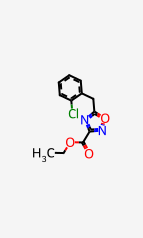 CCOC(=O)c1noc(Cc2ccccc2Cl)n1